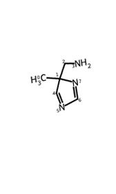 CC1(CN)C=NC=N1